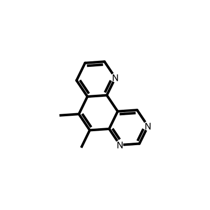 Cc1c(C)c2ncncc2c2ncccc12